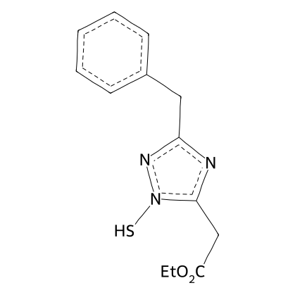 CCOC(=O)Cc1nc(Cc2ccccc2)nn1S